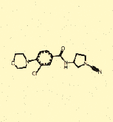 N#CN1CCC(NC(=O)c2ccc(N3CCOCC3)c(Cl)c2)C1